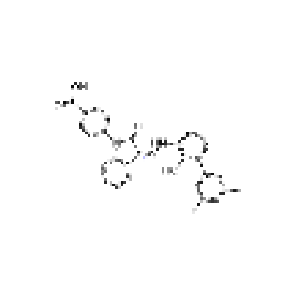 Cc1cc(C)cc(-c2cccc(N/N=C3\C(=O)N(c4ccc(C(=O)O)cc4)c4ccccc43)c2O)c1